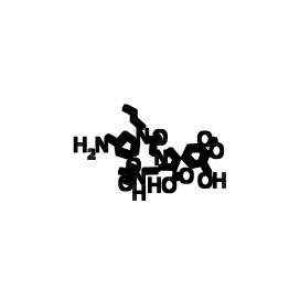 CCCCN(C(=O)CN1C[C@H](c2cc(CO)c3c(c2)OCO3)[C@@H](C(=O)O)[C@@H]1CCNS(C)(=O)=O)c1cccc(CN)c1